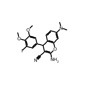 COc1cc(C2C(C#N)=C(N)Oc3cc(N(C)C)ccc32)cc(I)c1OC